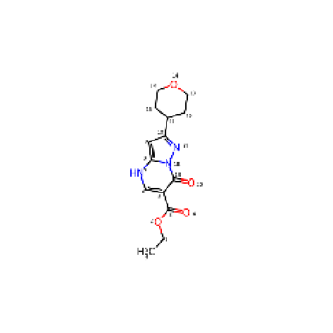 CCOC(=O)c1c[nH]c2cc(C3CCOCC3)nn2c1=O